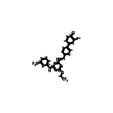 Fc1cc(-c2ccc(CNc3nc(Nc4cccc(C(F)(F)F)c4)nc(OCC(F)(F)F)n3)cc2)ccc1Cl